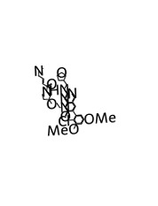 COc1cc(OC)c(Cl)c(-c2cc3cnc(NCC4CCOC4)nc3n(CCOC3CCN(C(=O)C=CCN(C)C)C3)c2=O)c1